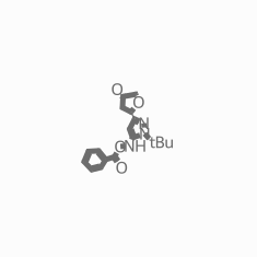 CC(C)(C)n1nc([C@@H]2CC(=O)CO2)cc1NOC(=O)c1ccccc1